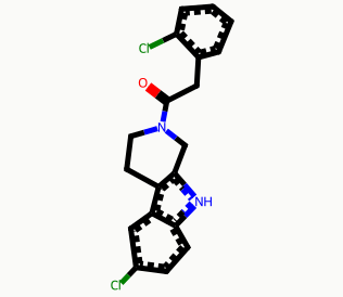 O=C(Cc1ccccc1Cl)N1CCc2c([nH]c3ccc(Cl)cc23)C1